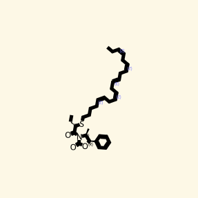 CC/C=C\C/C=C\C/C=C/C/C=C\C/C=C\CCCCS[C@@H](CC)C(=O)N1C(=O)O[C@H](c2ccccc2)[C@@H]1C